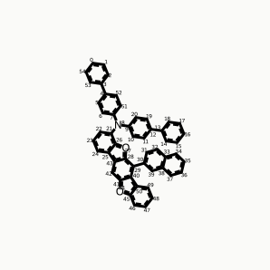 c1ccc(-c2ccc(N(c3ccc(-c4ccccc4)cc3)c3cccc4c3oc3c(-c5ccc6ccccc6c5)c5c(cc34)oc3ccccc35)cc2)cc1